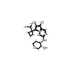 O[C@@H]1COCC[C@H]1Nc1ncc2c(Cl)c(Cl)c(C3(C(F)F)CCC3)n2n1